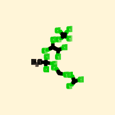 CC(Cl)(Cl)Cl.ClC(Cl)(Cl)Cl.ClC(Cl)C(Cl)Cl.ClC(Cl)Cl.ClCCl